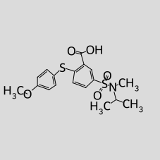 COc1ccc(Sc2ccc(S(=O)(=O)N(C)C(C)C)cc2C(=O)O)cc1